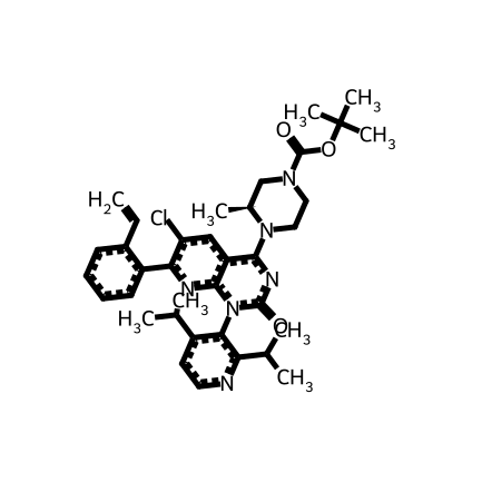 C=Cc1ccccc1-c1nc2c(cc1Cl)c(N1CCN(C(=O)OC(C)(C)C)C[C@@H]1C)nc(=O)n2-c1c(C(C)C)ccnc1C(C)C